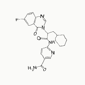 NC(=O)c1ccc(NC(=O)C(CC2CCCCC2)n2cnc3ccc(F)cc3c2=O)nc1